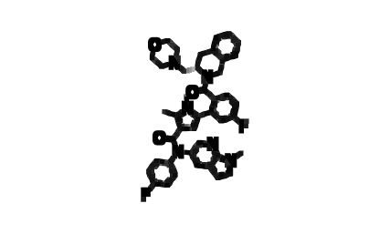 Cc1c(C(=O)N(c2ccc(F)cc2)c2cnc3c(ccn3C)c2)cc(-c2cc(F)ccc2C(=O)N2Cc3ccccc3C[C@H]2CN2CCOCC2)n1C